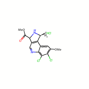 COC(=O)C1N[C@@H](C)c2c1cnc1c(Cl)c(Cl)c(OC)cc21.Cl